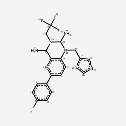 NC1c2nc(-c3ccc(F)cc3)ccc2N(Cc2cncs2)C(N)N1CC(F)(F)F